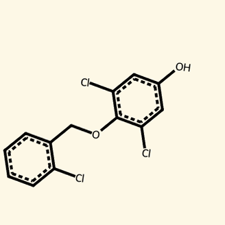 Oc1cc(Cl)c(OCc2ccccc2Cl)c(Cl)c1